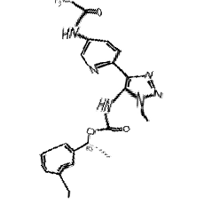 Cc1cccc([C@@H](C)OC(=O)Nc2c(-c3ccc(NC(=O)C(F)(F)F)cn3)nnn2C)c1